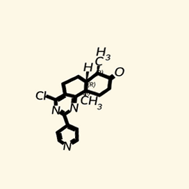 C[C@H]1C(=O)CC[C@@]2(C)c3nc(-c4ccncc4)nc(Cl)c3CC[C@H]12